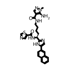 Cn1ncc(C(=O)NCCCC[C@H](NC(=O)c2cncs2)c2ncc(-c3ccc4ccccc4c3)[nH]2)c1N